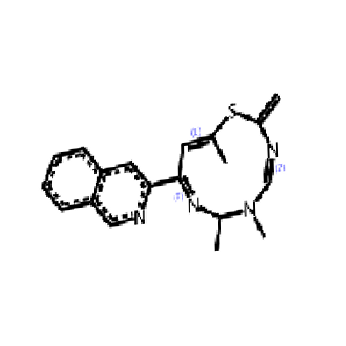 C=C1/N=C\N(C)C(C)/N=C(c2cc3ccccc3cn2)\C=C(/C)S1